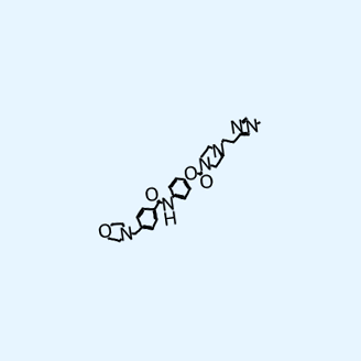 Cn1cnc(CCN2CCN(C(=O)Oc3ccc(NC(=O)c4ccc(CN5CCOCC5)cc4)cc3)CC2)c1